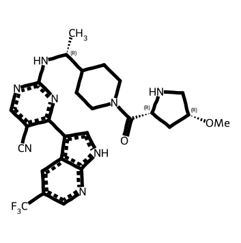 CO[C@H]1CN[C@@H](C(=O)N2CCC([C@@H](C)Nc3ncc(C#N)c(-c4c[nH]c5ncc(C(F)(F)F)cc45)n3)CC2)C1